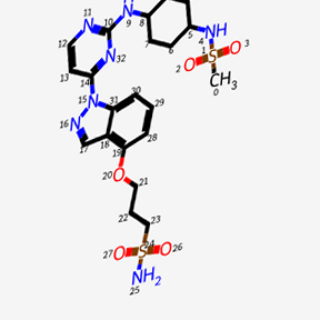 CS(=O)(=O)NC1CCC(Nc2nccc(-n3ncc4c(OCCCS(N)(=O)=O)cccc43)n2)CC1